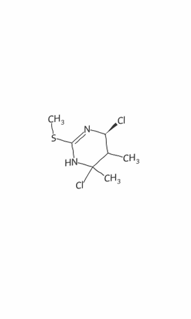 CSC1=N[C@@H](Cl)C(C)C(C)(Cl)N1